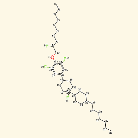 CCCCCCCCC(F)COc1c(F)cc(C2CC[Si](F)(C3CCC(CCCCCCC)CC3)CC2)cc1F